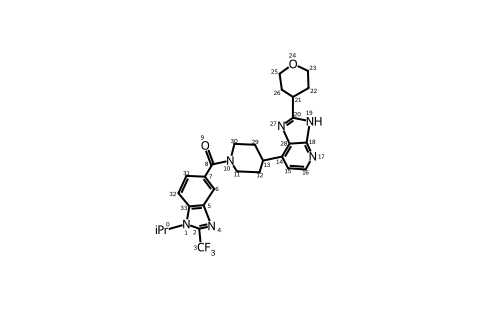 CC(C)n1c(C(F)(F)F)nc2cc(C(=O)N3CCC(c4ccnc5[nH]c(C6CCOCC6)nc45)CC3)ccc21